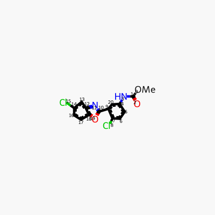 COC(=O)Nc1ccc(Cl)c(-c2nc3cc(Cl)ccc3o2)c1